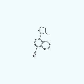 CC1CCC=C1c1ccc(C#N)c2ccccc12